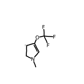 CN1C=C(OC(F)(F)F)[C]C1